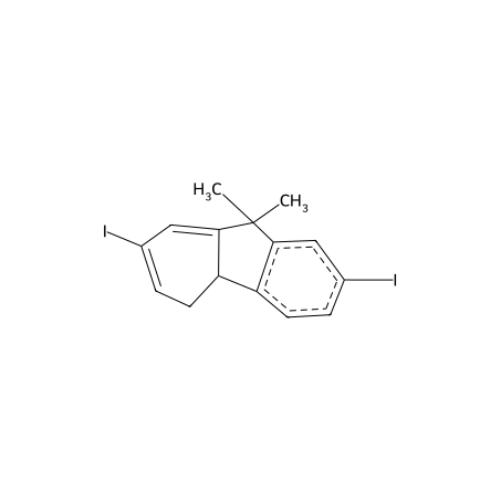 CC1(C)C2=CC(I)=CCC2c2ccc(I)cc21